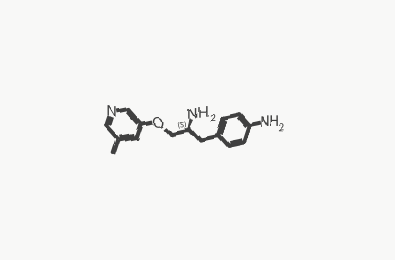 Cc1cncc(OC[C@@H](N)Cc2ccc(N)cc2)c1